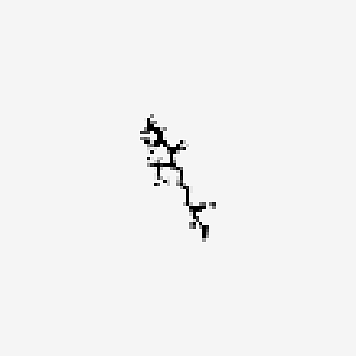 CCOC(=O)CCCCC(C(=O)O)C(=O)c1cc(C)on1